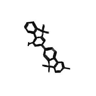 Cc1ccc2c(c1)-c1ccc(-c3cc(I)c4c(c3)C(C)(C)c3ccccc3-4)cc1C2(C)C